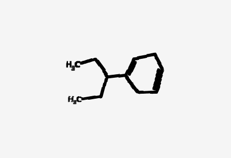 CCC(CC)C1=CCC=CC1